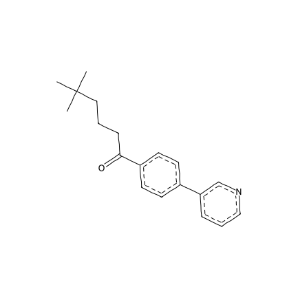 CC(C)(C)CCCC(=O)c1ccc(-c2cccnc2)cc1